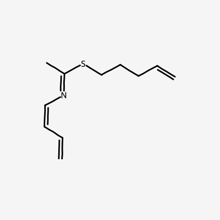 C=C/C=C\N=C(/C)SCCCC=C